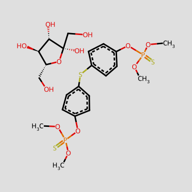 COP(=S)(OC)Oc1ccc(Sc2ccc(OP(=S)(OC)OC)cc2)cc1.OC[C@H]1O[C@](O)(CO)[C@@H](O)[C@@H]1O